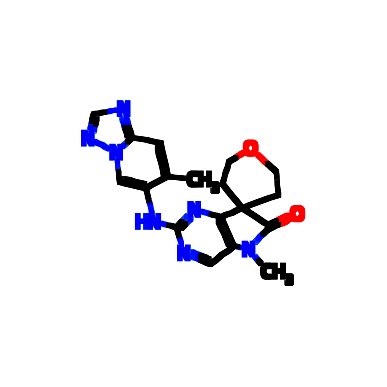 Cc1cc2ncnn2cc1Nc1ncc2c(n1)C1(CCOCC1)C(=O)N2C